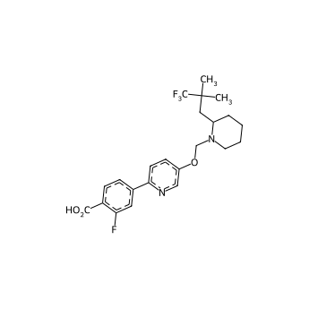 CC(C)(CC1CCCCN1COc1ccc(-c2ccc(C(=O)O)c(F)c2)nc1)C(F)(F)F